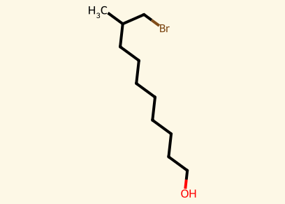 CC(CBr)CCCCCCCCO